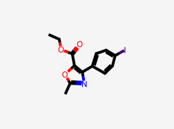 CCOC(=O)c1oc(C)nc1-c1ccc(I)cc1